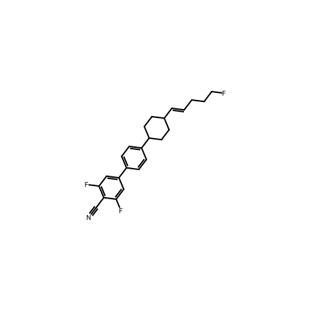 N#Cc1c(F)cc(-c2ccc(C3CCC(C=CCCCF)CC3)cc2)cc1F